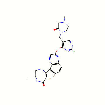 C[C@@H]1CNc2c(sc3ccc4nc(Oc5nc(Cl)ncc5CN5CCN(C)CC5=O)cnc4c23)C(=O)N1